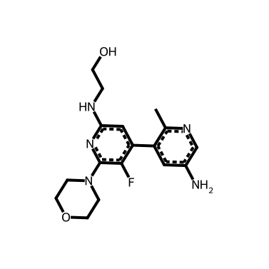 Cc1ncc(N)cc1-c1cc(NCCO)nc(N2CCOCC2)c1F